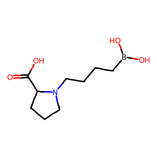 O=C(O)C1CCCN1CCCCB(O)O